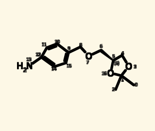 CC1(C)OC[C@H](COCc2ccc(N)cc2)O1